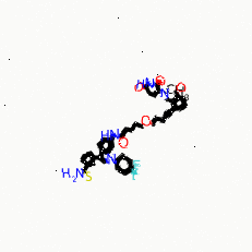 CN(Cc1c(C#CCCCOCCCCC(=O)Nc2ccc3c(-c4cccc(C(N)=S)c4)cn(C4CCC(F)(F)CC4)c3c2)cccc1C=O)C1CCC(=O)NC1=O